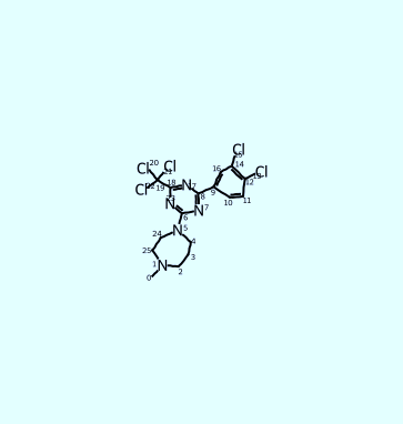 CN1CCCN(c2nc(-c3ccc(Cl)c(Cl)c3)nc(C(Cl)(Cl)Cl)n2)CC1